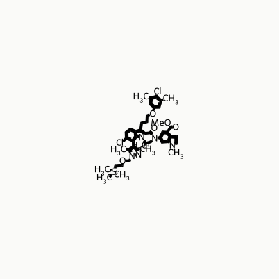 COC(=O)c1cc(N2C[C@@H](C)n3c(c(CCCOc4cc(C)c(Cl)c(C)c4)c4ccc(Cl)c(-c5c(C)nn(COCC[Si](C)(C)C)c5C)c43)C2=O)cc2c1ccn2C